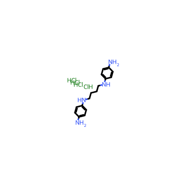 Cl.Cl.Cl.Cl.Nc1ccc(NCCCCNc2ccc(N)cc2)cc1